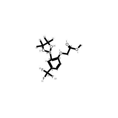 COC(=O)COc1ccc(C(F)(F)F)cc1B1OC(C)(C)C(C)(C)O1